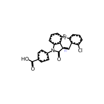 O=C(O)c1ccc(N2C(=O)/C(=C/c3c(F)cccc3Cl)c3c(F)cccc32)cc1